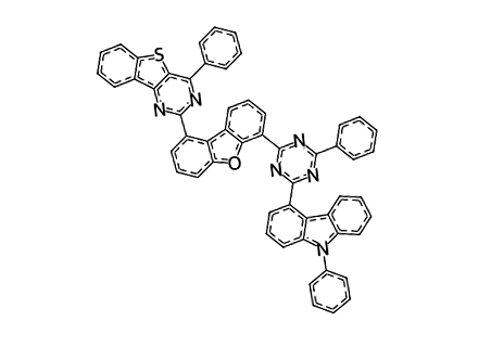 c1ccc(-c2nc(-c3cccc4c3oc3cccc(-c5nc(-c6ccccc6)c6sc7ccccc7c6n5)c34)nc(-c3cccc4c3c3ccccc3n4-c3ccccc3)n2)cc1